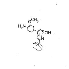 COc1cc(-c2csc3nc(C45CC6CC(CC(C6)C4)C5)cn23)ccc1N.Cl